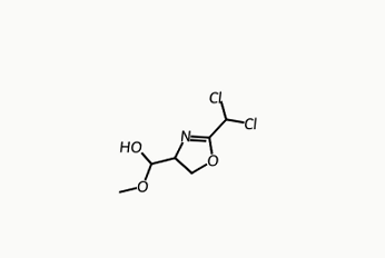 COC(O)C1COC(C(Cl)Cl)=N1